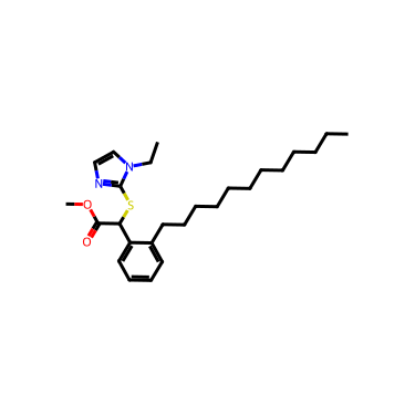 CCCCCCCCCCCCc1ccccc1C(Sc1nccn1CC)C(=O)OC